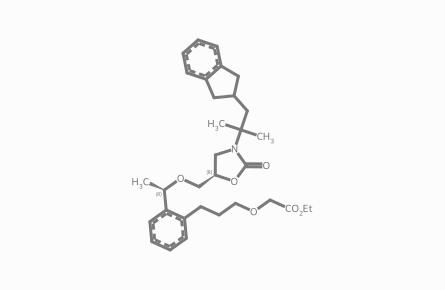 CCOC(=O)COCCCc1ccccc1[C@@H](C)OC[C@H]1CN(C(C)(C)CC2Cc3ccccc3C2)C(=O)O1